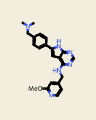 COc1cc(CNc2ncnc3[nH]c(-c4ccc(CN(C)C)cc4)cc23)ccn1